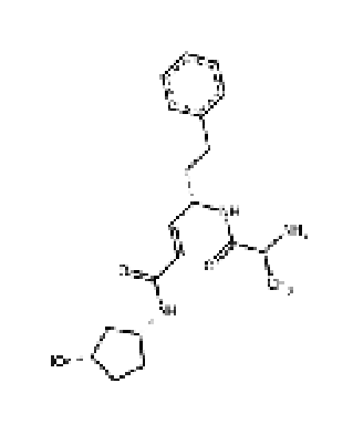 C[C@H](N)C(=O)N[C@H](C=CC(=O)N[C@@H]1CC[C@H](O)C1)CCc1ccccc1